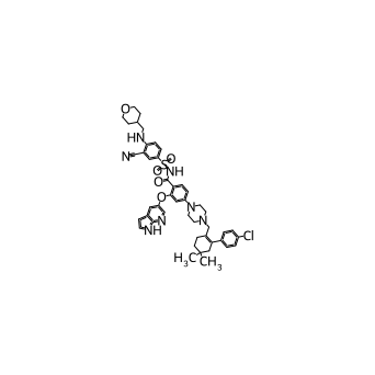 CC1(C)CCC(CN2CCN(c3ccc(C(=O)NS(=O)(=O)c4ccc(NCC5CCOCC5)c(C#N)c4)c(Oc4cnc5[nH]ccc5c4)c3)CC2)=C(c2ccc(Cl)cc2)C1